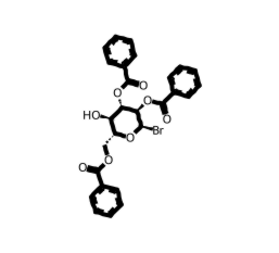 O=C(OC[C@H]1O[C@H](Br)[C@H](OC(=O)c2ccccc2)[C@@H](OC(=O)c2ccccc2)[C@@H]1O)c1ccccc1